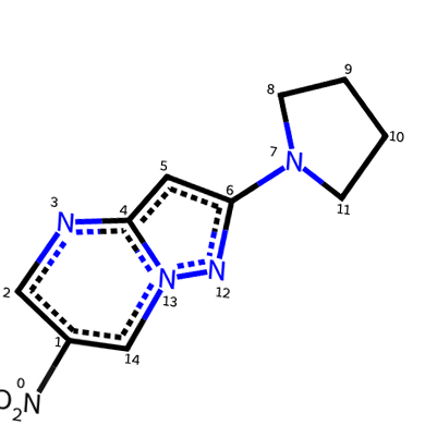 O=[N+]([O-])c1cnc2cc(N3CCCC3)nn2c1